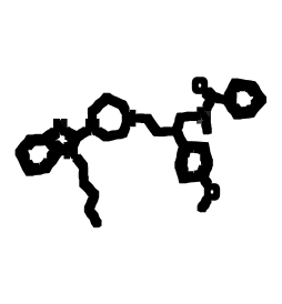 CCCCCn1c(N2CCCN(CCC(CN(C)C(=O)c3ccccc3)c3ccc(OC)cc3)CC2)nc2ccccc21